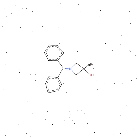 CCCC1(O)CN(C(c2ccccc2)c2ccccc2)C1